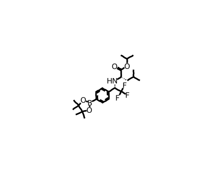 CC(C)C[C@H](N[C@@H](c1ccc(B2OC(C)(C)C(C)(C)O2)cc1)C(F)(F)F)C(=O)OC(C)C